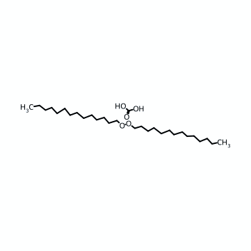 CCCCCCCCCCCCCCOOCCCCCCCCCCCCCC.O=C(O)O